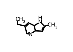 CCC1=CC2NC(C)=CC2N=C1